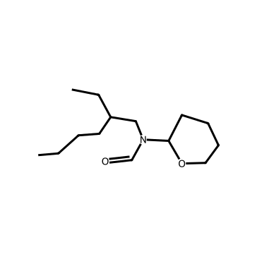 CCCCC(CC)CN(C=O)C1CCCCO1